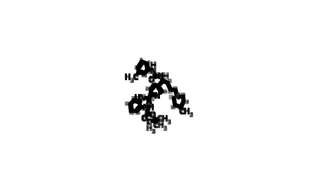 Cc1cccc(NC(=O)NC(CCCN2CCC(C)CC2)c2ccc(C(=O)Nc3ccccc3NC(=O)OC(C)(C)C)nc2)c1